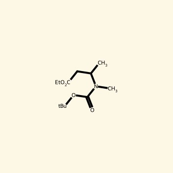 CCOC(=O)CC(C)N(C)C(=O)OC(C)(C)C